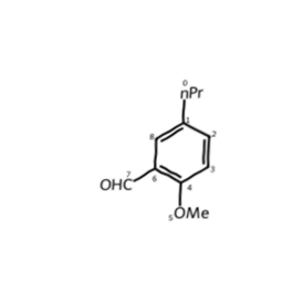 CCCc1ccc(OC)c(C=O)c1